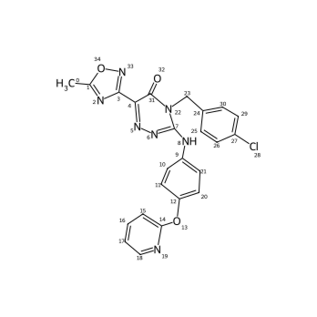 Cc1nc(-c2nnc(Nc3ccc(Oc4ccccn4)cc3)n(Cc3ccc(Cl)cc3)c2=O)no1